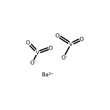 [Ba+2].[O]=[V](=[O])[O-].[O]=[V](=[O])[O-]